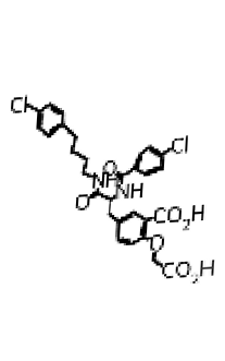 O=C(O)COc1ccc(C[C@H](NC(=O)c2ccc(Cl)cc2)C(=O)NCCCCc2ccc(Cl)cc2)cc1C(=O)O